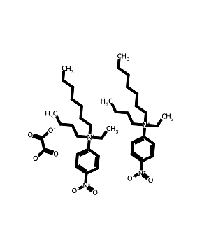 CCCCCCC[N+](CC)(CCCC)c1ccc([N+](=O)[O-])cc1.CCCCCCC[N+](CC)(CCCC)c1ccc([N+](=O)[O-])cc1.O=C([O-])C(=O)[O-]